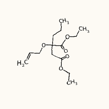 C=CCOC(CCC)(CC(=O)OCC)C(=O)OCC